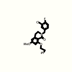 COc1cc2c(c(OCCC(C)C)c1)C(=O)N(Cc1ccc(F)c(Cl)c1)CC2